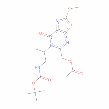 CSc1nc2c(=O)n(C(C)CNC(=O)OC(C)(C)C)c(COC(C)=O)nc2s1